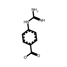 N=C(N)Nc1ccc(C([O])=O)cc1